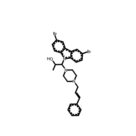 CC(O)C(N1CCN(C/C=C/c2ccccc2)CC1)n1c2ccc(Br)cc2c2cc(Br)ccc21